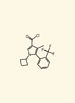 Cc1c(C(=O)Cl)cn(C2CCC2)c1-c1ccccc1C(F)(F)F